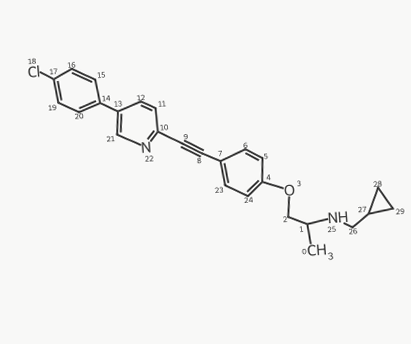 CC(COc1ccc(C#Cc2ccc(-c3ccc(Cl)cc3)cn2)cc1)NCC1CC1